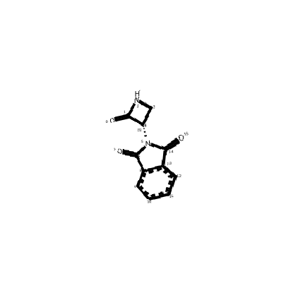 O=C1NC[C@@H]1N1C(=O)c2ccccc2C1=O